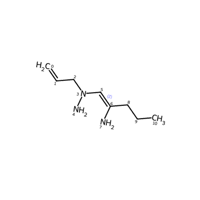 C=CCN(N)/C=C(\N)CCC